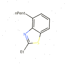 CCCCCc1cccc2sc(CC)nc12